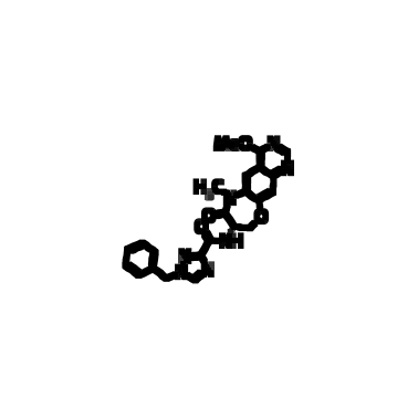 COc1ncnc2cc3c(cc12)N(C)C(=O)[C@@H](NC(=O)c1ncn(Cc2ccccc2)n1)CO3